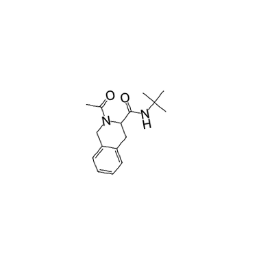 CC(=O)N1Cc2ccccc2CC1C(=O)NC(C)(C)C